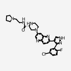 O=C(NCCN1CCCC1)[C@H]1CN(c2cnc3ccc(-c4c[nH]nc4-c4cc(Cl)ccc4F)nc3c2)CCN1